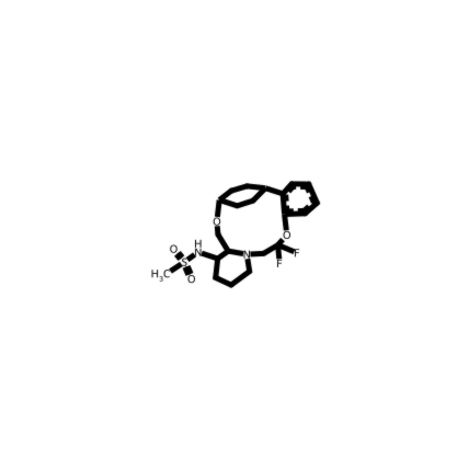 CS(=O)(=O)NC1CCCN2CC(F)(F)Oc3ccccc3C3CCC(CC3)OCC12